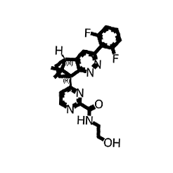 CC1(C)[C@H]2CC[C@@]1(c1ccnc(C(=O)NCCO)n1)c1nnc(-c3c(F)cccc3F)cc12